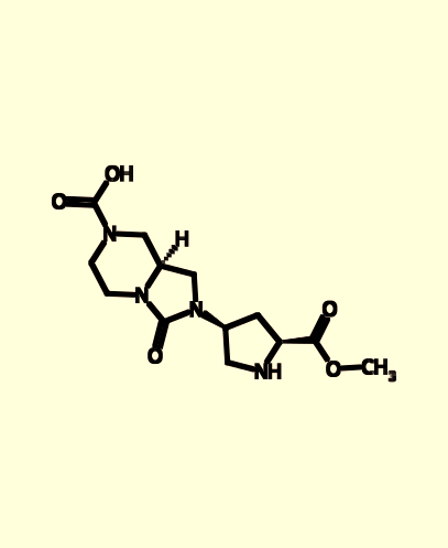 COC(=O)[C@@H]1C[C@H](N2C[C@@H]3CN(C(=O)O)CCN3C2=O)CN1